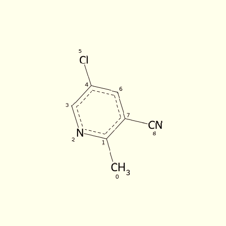 Cc1ncc(Cl)cc1C#N